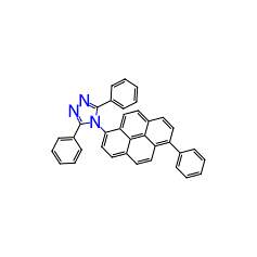 c1ccc(-c2ccc3ccc4c(-n5c(-c6ccccc6)nnc5-c5ccccc5)ccc5ccc2c3c54)cc1